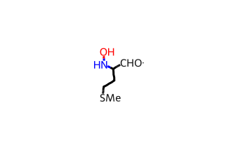 CSCCC([C]=O)NO